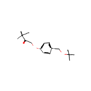 CC(C)(C)OCc1ccc(OCC(=O)C(C)(C)C)cc1